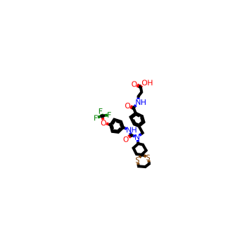 O=C(O)CCNC(=O)c1ccc(CN(C(=O)Nc2ccc(OC(F)(F)F)cc2)C2CCC3(CC2)SCCCS3)cc1